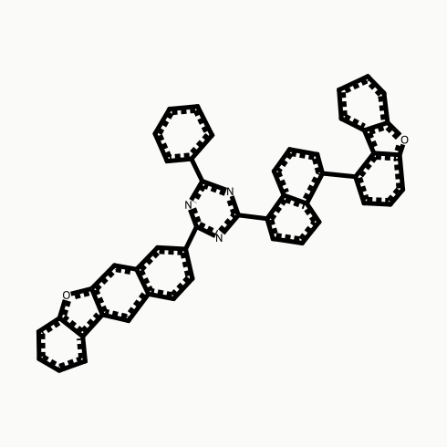 c1ccc(-c2nc(-c3ccc4cc5c(cc4c3)oc3ccccc35)nc(-c3cccc4c(-c5cccc6oc7ccccc7c56)cccc34)n2)cc1